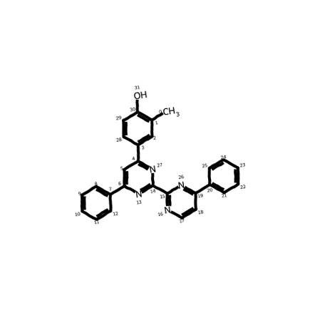 Cc1cc(-c2cc(-c3ccccc3)nc(-c3nccc(-c4ccccc4)n3)n2)ccc1O